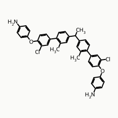 Cc1cc(C(C)c2ccc(-c3ccc(Oc4ccc(N)cc4)c(Cl)c3)c(C)c2)ccc1-c1ccc(Oc2ccc(N)cc2)c(Cl)c1